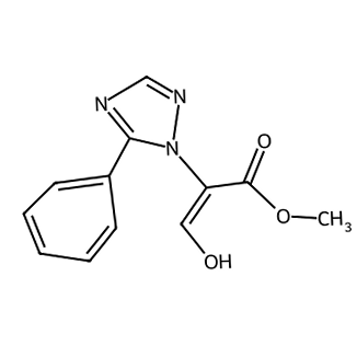 COC(=O)C(=CO)n1ncnc1-c1ccccc1